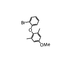 COc1cc(C)c(Oc2ccccc2Br)c(C)c1